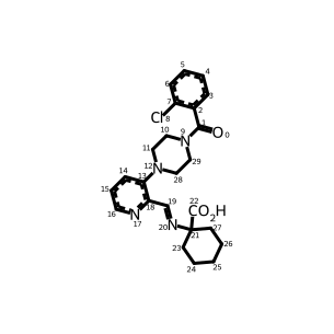 O=C(c1ccccc1Cl)N1CCN(c2cccnc2C=NC2(C(=O)O)CCCCC2)CC1